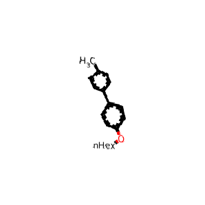 CCCCCCOc1ccc(-c2ccc(C)cc2)cc1